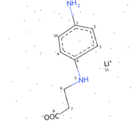 Nc1ccc(NCCC(=O)[O-])cc1.[Li+]